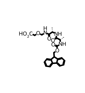 C[C@H](NC(=O)OCC1c2ccccc2-c2ccccc21)C(=O)N[C@@H](C)C(=O)NCOCC(=O)O